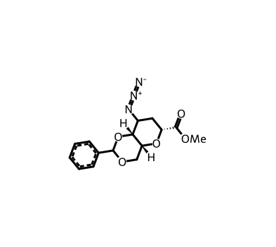 COC(=O)[C@H]1CC(N=[N+]=[N-])[C@H]2OC(c3ccccc3)OC[C@H]2O1